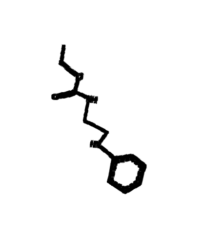 CCOC(=O)NCCNc1ccccc1